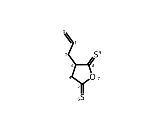 C=CCC1CC(=S)OC1=S